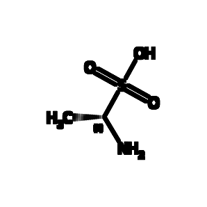 C[C@@H](N)S(=O)(=O)O